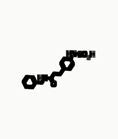 O=C(C=Cc1ccc(NS(=O)(=O)O)cc1)NCc1ccccc1